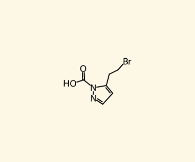 O=C(O)n1nccc1CCBr